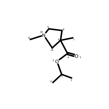 CC(C)OC(=O)C1(C)CCN(C)C1